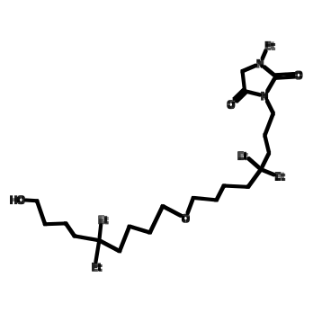 CCN1CC(=O)N(CCCC(CC)(CC)CCCCOCCCCC(CC)(CC)CCCCO)C1=O